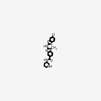 Cn1c(Nc2nc3ccc(Cl)cc3s2)nc2cc(C(=O)NC3CCCNC3)ccc21